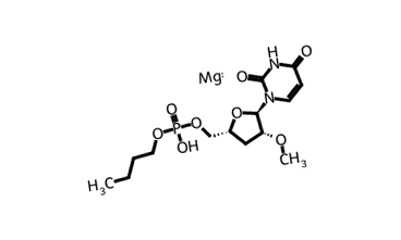 CCCCOP(=O)(O)OC[C@H]1C[C@@H](OC)[C@H](n2ccc(=O)[nH]c2=O)O1.[Mg]